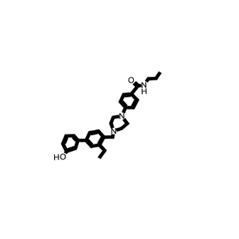 CCCNC(=O)c1ccc(N2CCN(Cc3ccc(-c4cccc(O)c4)cc3CC)CC2)cc1